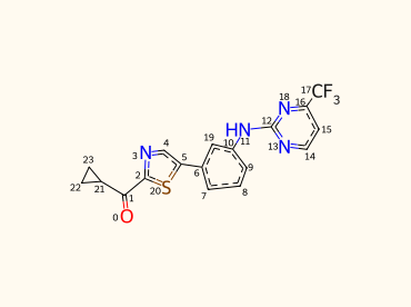 O=C(c1ncc(-c2cccc(Nc3nccc(C(F)(F)F)n3)c2)s1)C1CC1